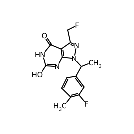 Cc1ccc(C(C)n2nc(CF)c3c(=O)[nH]c(O)nc32)cc1F